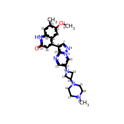 COc1cc2c(-c3cnn4cc(N5CC(N6CCN(C)CC6)C5)cnc34)cc(=O)[nH]c2cc1C